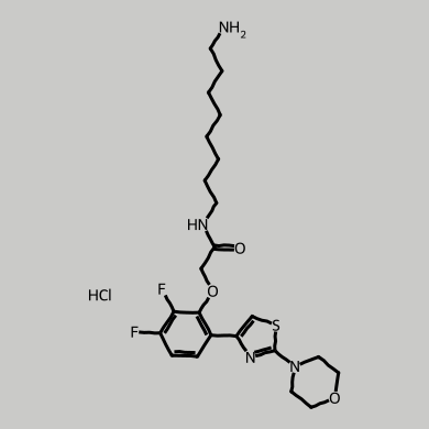 Cl.NCCCCCCCCNC(=O)COc1c(-c2csc(N3CCOCC3)n2)ccc(F)c1F